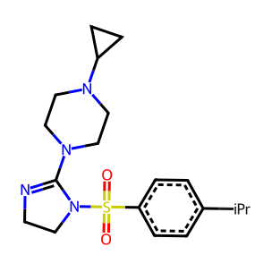 CC(C)c1ccc(S(=O)(=O)N2CCN=C2N2CCN(C3CC3)CC2)cc1